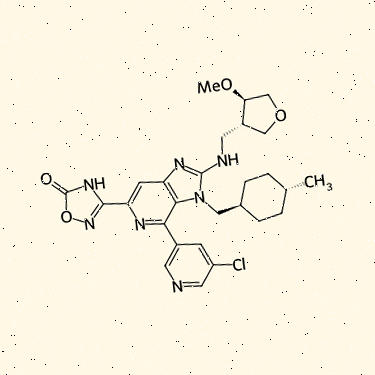 CO[C@H]1COC[C@@H]1CNc1nc2cc(-c3noc(=O)[nH]3)nc(-c3cncc(Cl)c3)c2n1C[C@H]1CC[C@H](C)CC1